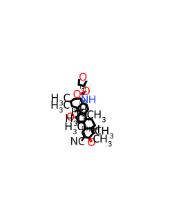 CC1(C)CC[C@]2(NC(=O)O[C@H]3CCOC3)CC[C@]3(C)[C@H](C(=O)C=C4[C@@]5(C)C=C(C#N)C(=O)C(C)(C)[C@@H]5CC[C@]43C)[C@@H]2C1